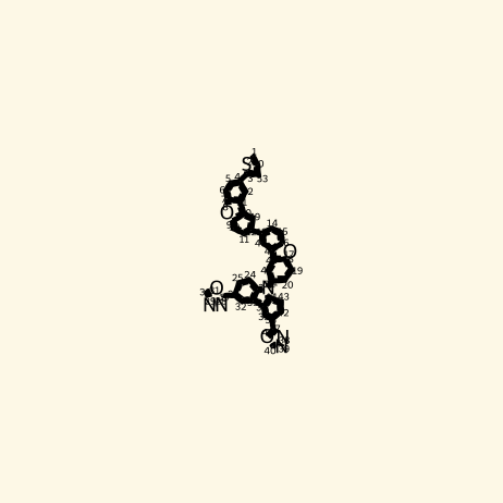 c1csc(-c2ccc3oc4ccc(-c5ccc6oc7ccc(-n8c9ccc(-c%10nnco%10)cc9c9cc(-c%10nnco%10)ccc98)cc7c6c5)cc4c3c2)c1